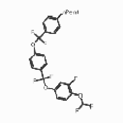 CCCCCc1ccc(C(F)(F)Oc2ccc(C(F)(F)Oc3ccc(OC(F)F)c(F)c3)cc2)cc1